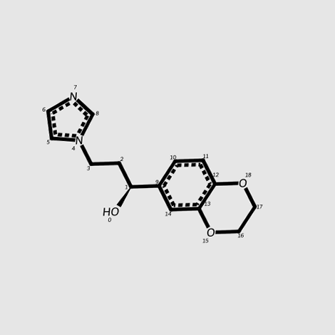 O[C@@H](CCn1ccnc1)c1ccc2c(c1)OCCO2